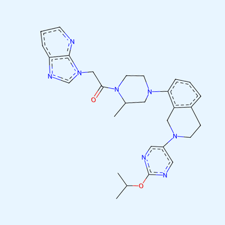 CC(C)Oc1ncc(N2CCc3cccc(N4CCN(C(=O)Cn5cnc6cccnc65)C(C)C4)c3C2)cn1